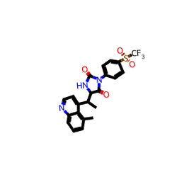 Cc1cccc2nccc(C(C)C3NC(=O)N(c4ccc(S(=O)(=O)C(F)(F)F)cc4)C3=O)c12